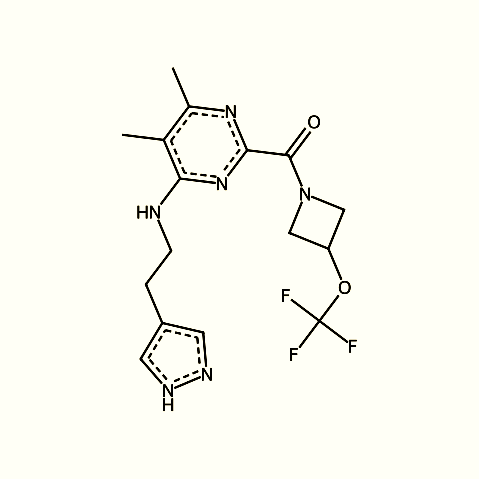 Cc1nc(C(=O)N2CC(OC(F)(F)F)C2)nc(NCCc2cn[nH]c2)c1C